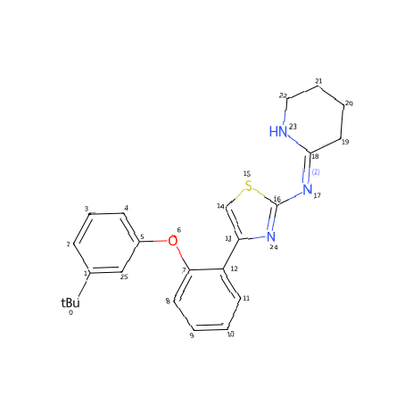 CC(C)(C)c1cccc(Oc2ccccc2-c2csc(/N=C3/CCCCN3)n2)c1